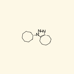 C1CCCC(n2nnc3c2CCCCCC3)CCC1